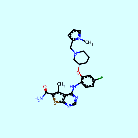 Cc1c(C(N)=O)sc2ncnc(Nc3ccc(F)cc3O[C@@H]3CCCN(Cc4cccn4C)C3)c12